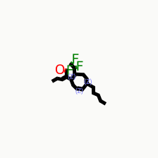 CCC=C(C=O)/C1=C(\C(F)(F)CF)C/C=C(CCCCC)\C=C/C1